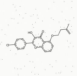 C=C(C)CCOc1cccc2oc(-c3ccc(Cl)cc3)c(O)c(=O)c12